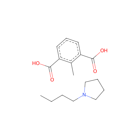 CCCCN1CCCC1.Cc1c(C(=O)O)cccc1C(=O)O